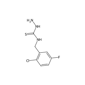 NNC(=S)NCc1cc(F)ccc1Cl